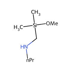 CCCNC[Si](C)(C)OC